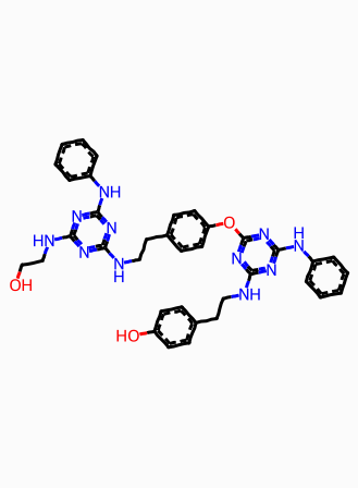 OCCNc1nc(NCCc2ccc(Oc3nc(NCCc4ccc(O)cc4)nc(Nc4ccccc4)n3)cc2)nc(Nc2ccccc2)n1